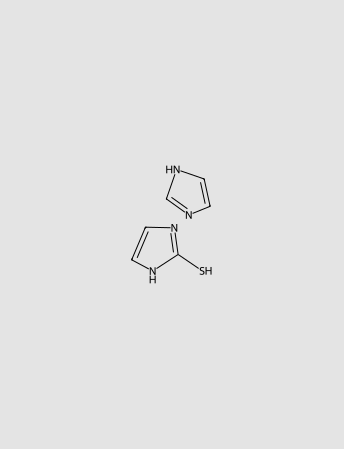 Sc1ncc[nH]1.c1c[nH]cn1